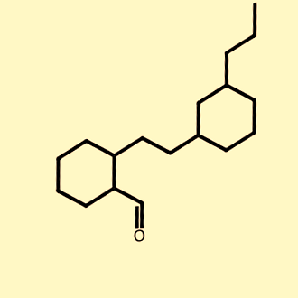 CCCC1CCCC(CCC2CCCCC2C=O)C1